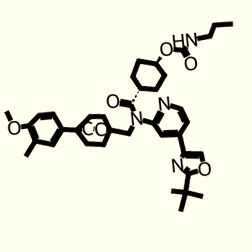 CCCNC(=O)O[C@H]1CC[C@H](C(=O)N(CC23CCC(c4ccc(OC)c(C)c4)(CC2)CC3)c2cc(-c3coc(C(C)(C)C)n3)ccn2)CC1